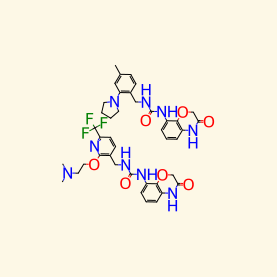 CN(C)CCOc1nc(C(F)(F)F)ccc1CNC(=O)Nc1cccc2c1OCC(=O)N2.Cc1ccc(CNC(=O)Nc2cccc3c2OCC(=O)N3)c(N2CCCC2)c1